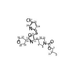 CC(C)COC(=O)N1CCC(c2nc(C3CCOCC3)oc2Sc2ccc(Cl)cn2)CC1